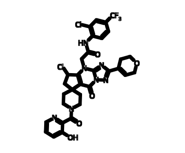 O=C(Cn1c2c(c(=O)n3nc(C4=CCOCC4)nc13)C1(CCN(C(=O)c3ncccc3O)CC1)CC2Cl)Nc1ccc(C(F)(F)F)cc1Cl